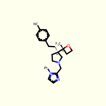 CC(C)n1ccnc1CN1CC[C@@](CCc2ccc(C#N)cc2)([C@@]2(C(F)(F)F)CCO2)C1